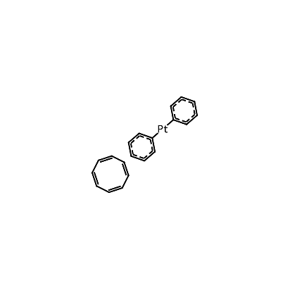 C1=CC=CC=CC=C1.c1cc[c]([Pt][c]2ccccc2)cc1